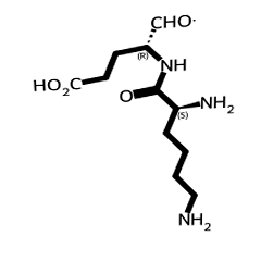 NCCCC[C@H](N)C(=O)N[C@@H]([C]=O)CCC(=O)O